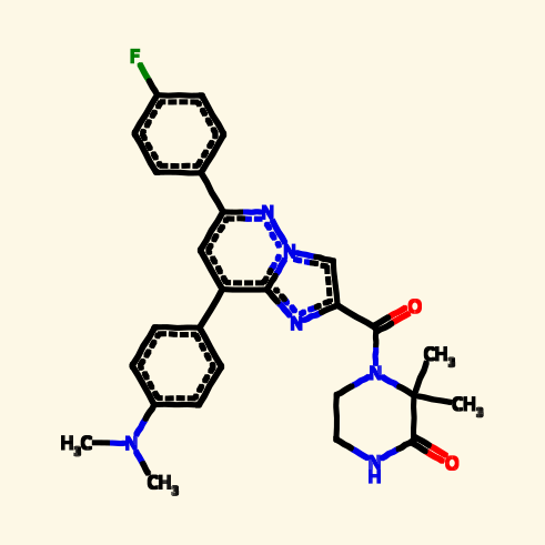 CN(C)c1ccc(-c2cc(-c3ccc(F)cc3)nn3cc(C(=O)N4CCNC(=O)C4(C)C)nc23)cc1